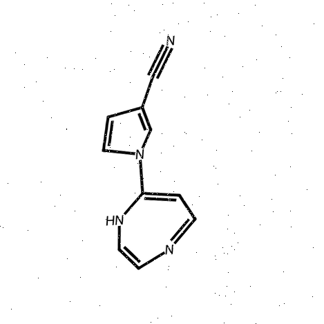 N#Cc1ccn(C2=CC=NC=CN2)c1